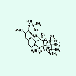 BC(B)(B)Oc1cc2c(cc1OC)CCN1C2C(B)(B)C(=O)C(B)(C(B)(B)C(B)(C(B)(B)B)C(B)(B)B)C1(B)B